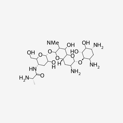 CNC1C(O[C@H]2OC(CO)[C@@H](NC(=O)[C@H](C)N)CC2O)O[C@H]2CC(N)[C@@H](O[C@@H]3C(N)C[C@@H](N)C(O)[C@H]3O)OC2C1O